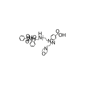 CC(C)(CCn1c(CCN2CCOCC2)nc2cc(C(=O)O)ccc21)NCC(O)c1ccccc1NS(=O)(=O)c1ccccc1